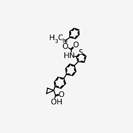 C[C@@H](OC(=O)Nc1sccc1-c1ccc(-c2ccc(C3(C(=O)O)CC3)cc2)cc1)c1ccccc1